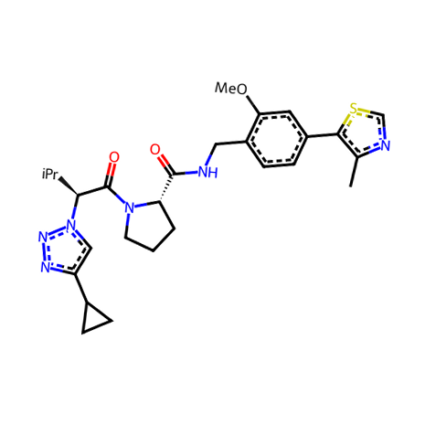 COc1cc(-c2scnc2C)ccc1CNC(=O)[C@@H]1CCCN1C(=O)[C@H](C(C)C)n1cc(C2CC2)nn1